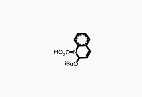 CC(C)COC1C=Cc2ccccc2N1C(=O)O